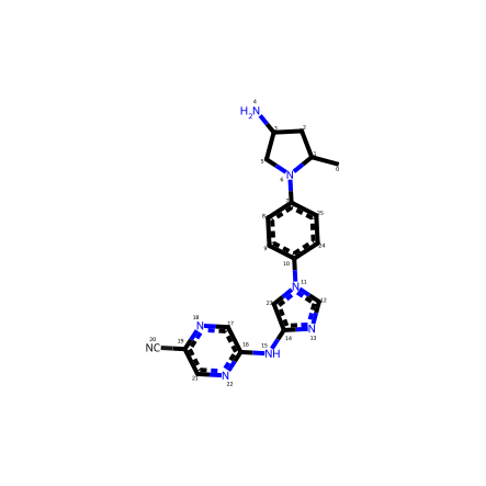 CC1CC(N)CN1c1ccc(-n2cnc(Nc3cnc(C#N)cn3)c2)cc1